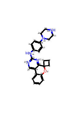 c1ccc2c(c1)OC1(CCC1)c1nc(Nc3ccc(N4CCNCC4)cc3)ncc1-2